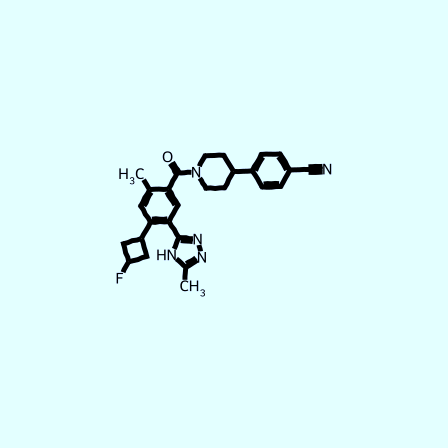 Cc1nnc(-c2cc(C(=O)N3CCC(c4ccc(C#N)cc4)CC3)c(C)cc2C2CC(F)C2)[nH]1